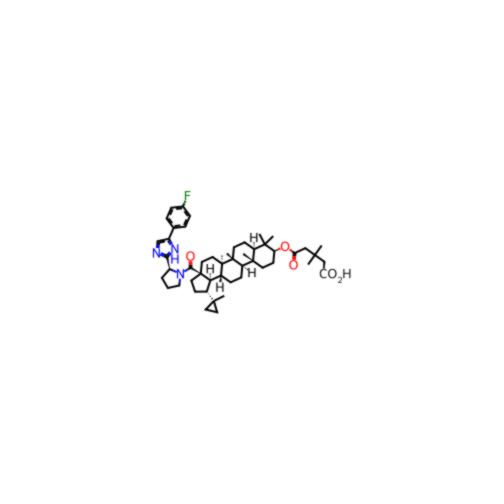 CC(C)(CC(=O)O)CC(=O)O[C@H]1CC[C@]2(C)[C@H]3CC[C@@H]4[C@H]5[C@H](C6(C)CC6)CC[C@]5(C(=O)N5CCC[C@H]5c5ncc(-c6ccc(F)cc6)[nH]5)CC[C@@]4(C)[C@]3(C)CC[C@H]2C1(C)C